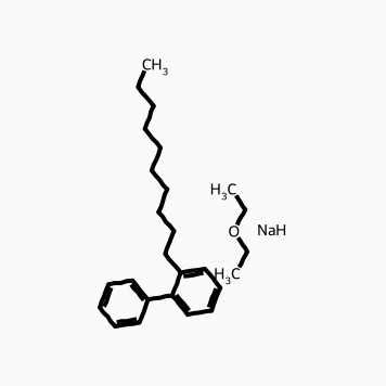 CCCCCCCCCCc1ccccc1-c1ccccc1.CCOCC.[NaH]